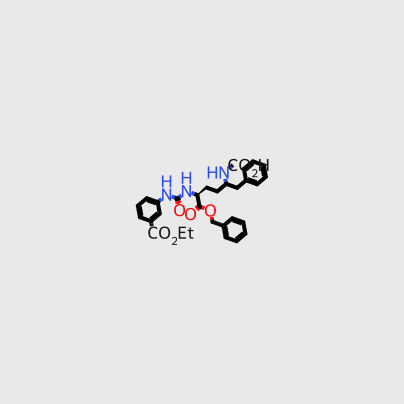 CCOC(=O)c1cccc(NC(=O)N[C@@H](CCC(Cc2ccccc2)NC(=O)O)C(=O)OCc2ccccc2)c1